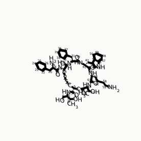 C[C@@H](O)C(CO)NC(=O)[C@@H]1CSSC[C@H](NC(=O)[C@H](N)Cc2ccccc2)C(=O)N[C@@H](Cc2ccccc2)C(=O)N[C@H](Cc2c[nH]c3ccccc23)C(=O)N[C@@H](CCCCN)C(=O)NC([C@@H](C)O)C(=O)C1